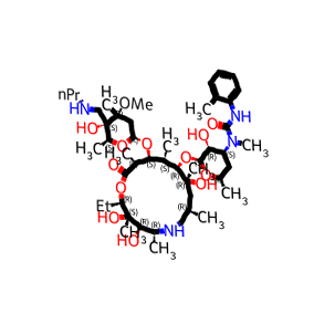 CCCNC[C@]1(O)[C@H](C)O[C@@H](O[C@H]2[C@H](C)[C@@H](O[C@@H]3O[C@H](C)C[C@H](N(C)C(=O)Nc4ccccc4C)[C@H]3O)[C@](C)(O)C[C@@H](C)CN[C@H](C)[C@@H](O)[C@](C)(O)[C@@H](CC)OC(=O)[C@@H]2C)C[C@@]1(C)OC